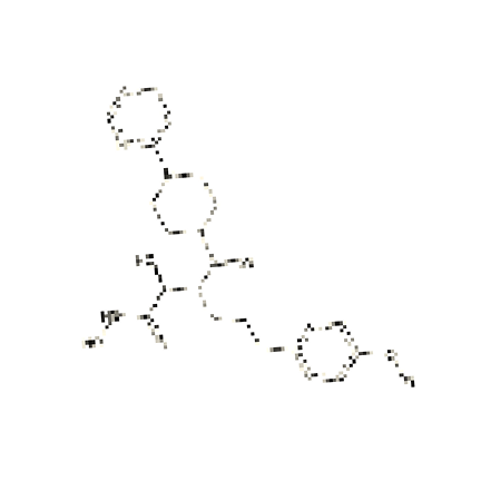 CCOc1ccc(CCC[C@@H](C(=O)N2CCN(c3ccccn3)CC2)[C@H](O)C(=O)NO)cc1